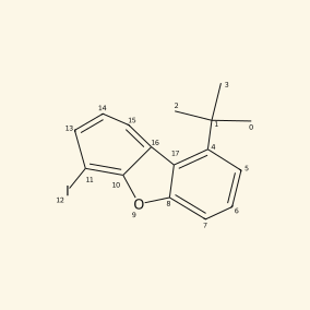 CC(C)(C)c1cccc2oc3c(I)cccc3c12